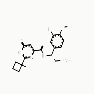 COC[C@@H](NC(=O)c1cc(=O)[nH]c(C2(C)CCC2)n1)c1ccc(OC(F)(F)F)c(F)c1